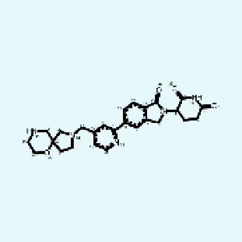 O=C1CCC(N2Cc3cc(-c4cc(CN5CCC6(CNCCO6)C5)ccn4)ccc3C2=O)C(=O)N1